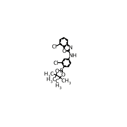 CC1(C)OB(c2ccc(Nc3nc4cccc(Cl)c4o3)cc2Cl)OC1(C)C